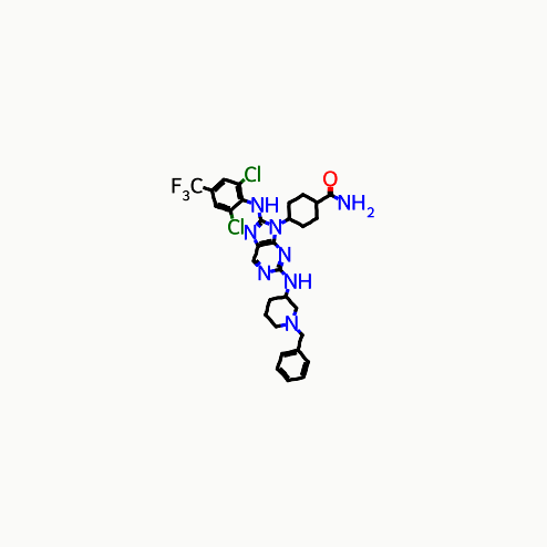 NC(=O)C1CCC(n2c(Nc3c(Cl)cc(C(F)(F)F)cc3Cl)nc3cnc(NC4CCCN(Cc5ccccc5)C4)nc32)CC1